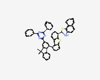 CC1(C)c2ccccc2-c2c(-c3cccc4sc5c(C6Nc7ccc8ccccc8c7S6)cccc5c34)cc(-c3nc(-c4ccccc4)nc(-c4ccccc4)n3)cc21